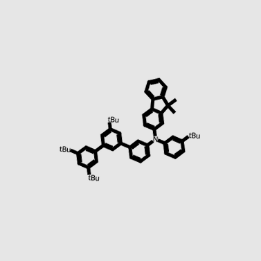 CC(C)(C)c1cc(-c2cccc(N(c3cccc(C(C)(C)C)c3)c3ccc4c(c3)C(C)(C)c3ccccc3-4)c2)cc(-c2cc(C(C)(C)C)cc(C(C)(C)C)c2)c1